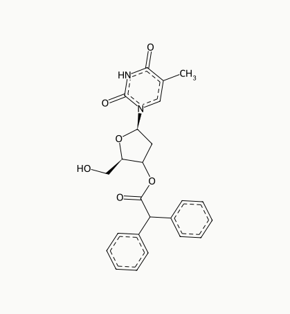 Cc1cn([C@H]2CC(OC(=O)C(c3ccccc3)c3ccccc3)[C@@H](CO)O2)c(=O)[nH]c1=O